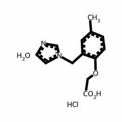 Cc1ccc(OCC(=O)O)c(Cn2ccnc2)c1.Cl.O